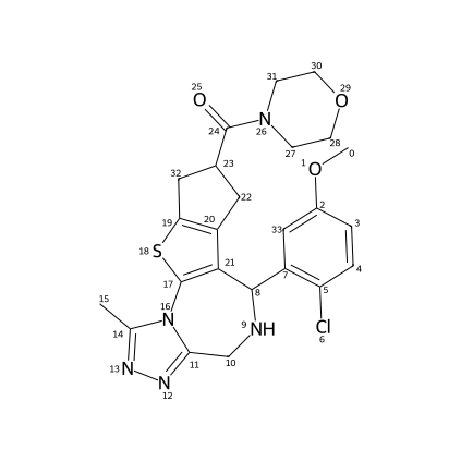 COc1ccc(Cl)c(C2NCc3nnc(C)n3-c3sc4c(c32)CC(C(=O)N2CCOCC2)C4)c1